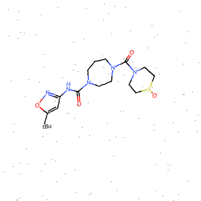 CC(C)(C)c1cc(NC(=O)N2CCCN(C(=O)N3CC[S+]([O-])CC3)CC2)no1